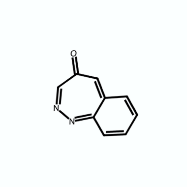 O=c1cnnc2ccccc2c1